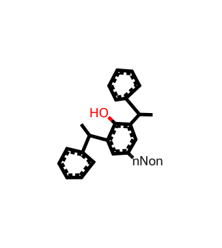 CCCCCCCCCc1cc(C(C)c2ccccc2)c(O)c(C(C)c2ccccc2)c1